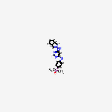 CP(C)(=O)c1ccc(Nc2cc(NN3CC4CCCC4C3)ncn2)cc1